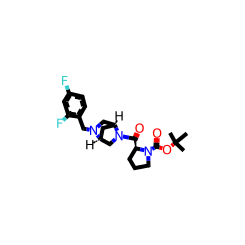 CC(C)(C)OC(=O)N1CCC[C@H]1C(=O)N1C[C@@H]2C[C@H]1CN2Cc1ccc(F)cc1F